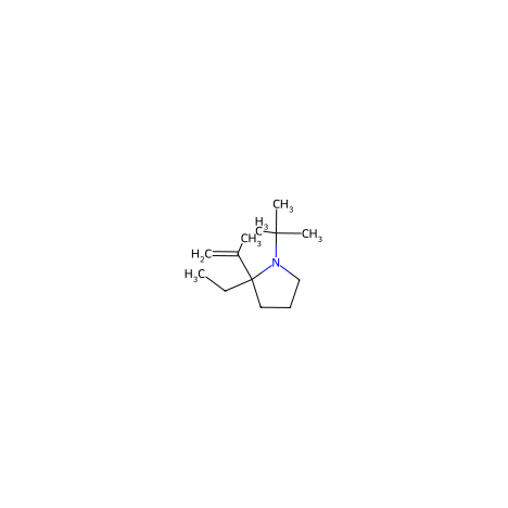 C=C(C)C1(CC)CCCN1C(C)(C)C